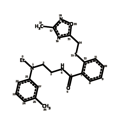 CCN(CCNC(=O)c1ccccc1SCc1nc(C)no1)c1cccc(C)c1